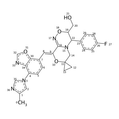 Cc1cn(-c2ccc(/C=C3\OC4(CC4)CN4C3=NOC(CO)C4c3ccc(F)cc3)c3ocnc23)cn1